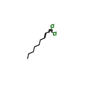 CCCCCCC=[CH][Pt]([Cl])[Cl]